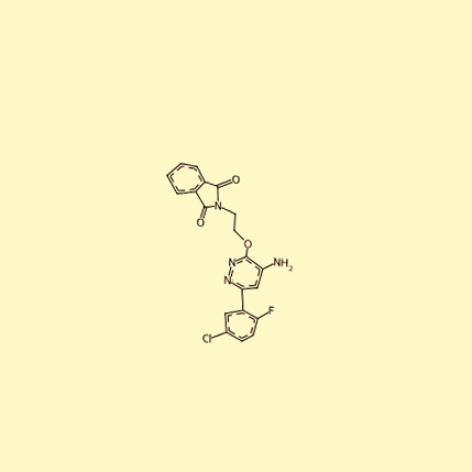 Nc1cc(-c2cc(Cl)ccc2F)nnc1OCCN1C(=O)c2ccccc2C1=O